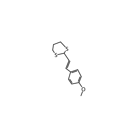 COc1ccc(/C=C/C2SCCCS2)cc1